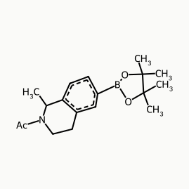 CC(=O)N1CCc2cc(B3OC(C)(C)C(C)(C)O3)ccc2C1C